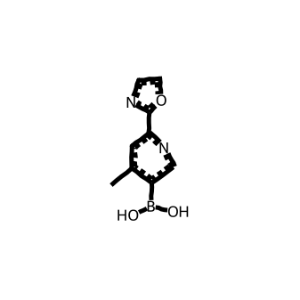 Cc1cc(-c2ncco2)ncc1B(O)O